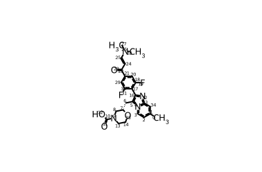 Cc1ccn2c(C[C@H]3CN(C(=O)O)CCO3)c(-c3c(F)cc(C(=O)/C=C/N(C)C)cc3F)nc2c1